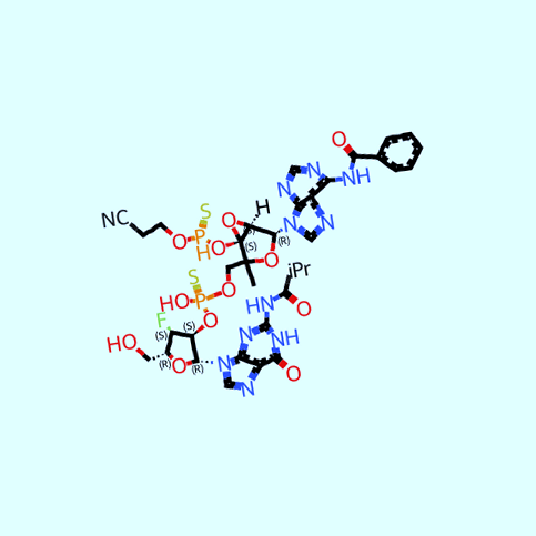 CC(C)C(=O)Nc1nc2c(ncn2[C@@H]2O[C@H](CO)[C@H](F)[C@H]2OP(O)(=S)OCC2(C)O[C@@H](n3cnc4c(NC(=O)c5ccccc5)ncnc43)[C@@H]3O[C@]32O[PH](=S)OCCC#N)c(=O)[nH]1